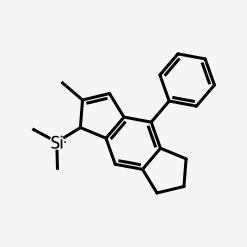 CC1=Cc2c(cc3c(c2-c2ccccc2)CCC3)C1[Si](C)C